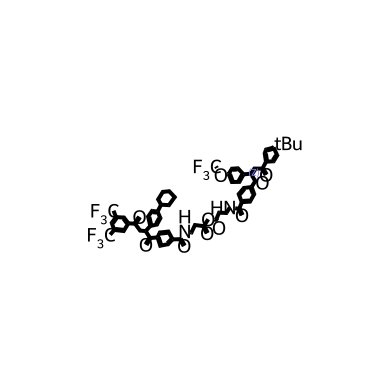 CC(C)(C)c1ccc(C(=O)/C=C(\C(=O)c2ccc(C(=O)NCCC(=O)OC(=O)CCNC(=O)c3ccc(C(=O)C(CC(=O)c4cc(C(F)(F)F)cc(C(F)(F)F)c4)c4ccc(C5CCCCC5)cc4)cc3)cc2)c2ccc(OC(F)(F)F)cc2)cc1